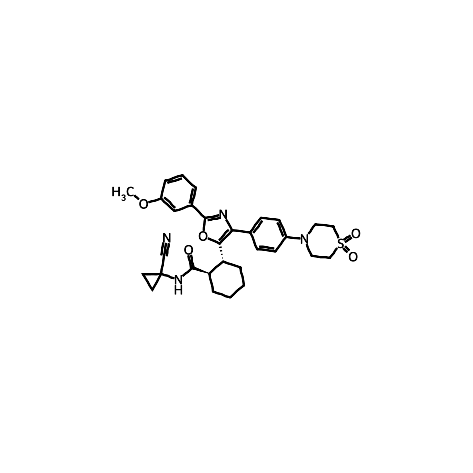 COc1cccc(-c2nc(-c3ccc(N4CCS(=O)(=O)CC4)cc3)c([C@@H]3CCCC[C@H]3C(=O)NC3(C#N)CC3)o2)c1